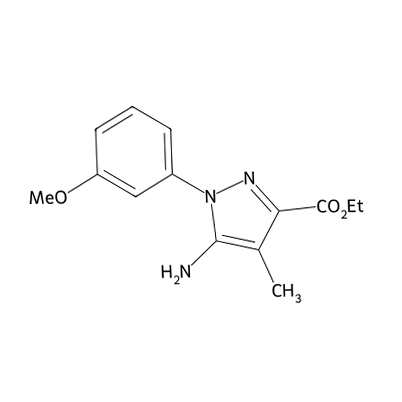 CCOC(=O)c1nn(-c2cccc(OC)c2)c(N)c1C